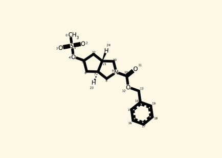 CS(=O)(=O)OC1C[C@@H]2CN(C(=O)OCc3ccccc3)C[C@H]2C1